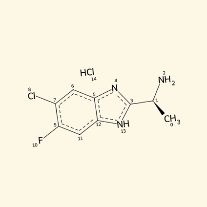 C[C@H](N)c1nc2cc(Cl)c(F)cc2[nH]1.Cl